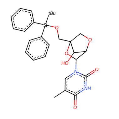 Cc1cn(C2OC3(CO[Si](c4ccccc4)(c4ccccc4)C(C)(C)C)COC2C3O)c(=O)[nH]c1=O